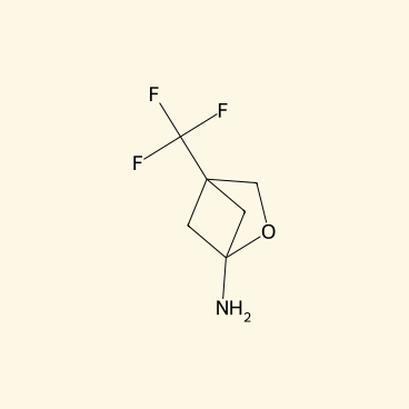 NC12CC(C(F)(F)F)(CO1)C2